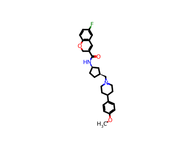 COc1ccc(C2CCN(C[C@H]3CC[C@@H](NC(=O)C4=Cc5cc(F)ccc5OC4)C3)CC2)cc1